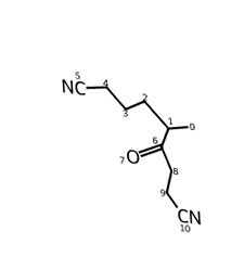 CC(CCCC#N)C(=O)CCC#N